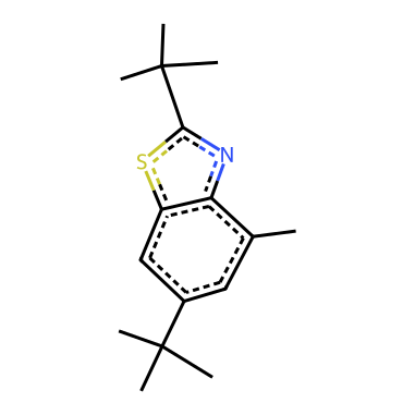 Cc1cc(C(C)(C)C)cc2sc(C(C)(C)C)nc12